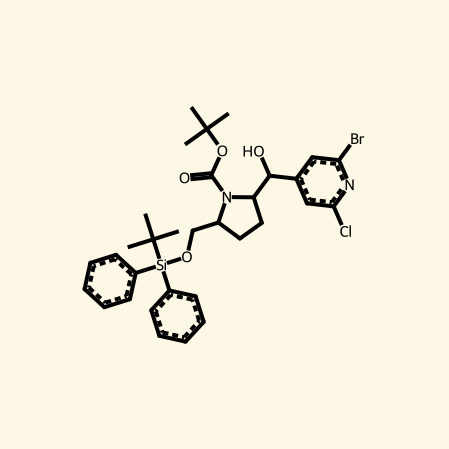 CC(C)(C)OC(=O)N1C(CO[Si](c2ccccc2)(c2ccccc2)C(C)(C)C)CCC1C(O)c1cc(Cl)nc(Br)c1